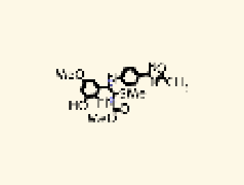 COC(=O)/N=C(SC)/C(=N\c1ccc(-c2noc(C)n2)cc1)c1cc(OC)cc(O)c1F